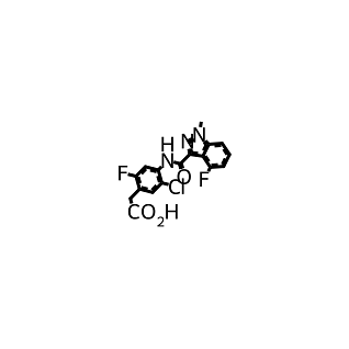 Cn1nc(C(=O)Nc2cc(F)c(CC(=O)O)cc2Cl)c2c(F)cccc21